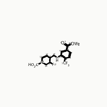 COC(=O)c1ccc(C(F)(F)F)c(NCC2CCN(C(=O)O)CC2F)c1